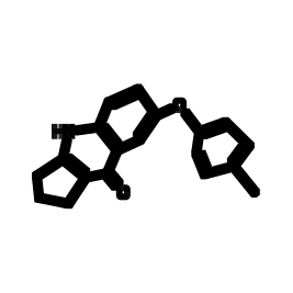 Cc1ccc(Oc2ccc3[nH]c4c(c(=O)c3c2)CCC4)cc1